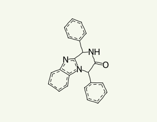 O=C1NC(c2ccccc2)c2nc3ccccc3n2C1c1ccccc1